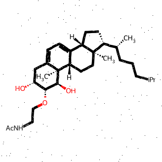 CC(=O)NCCO[C@@H]1[C@H](O)CC2=CC=C3[C@@H]4CC[C@H]([C@H](C)CCCC(C)C)[C@@]4(C)CC[C@@H]3[C@@]2(C)[C@H]1O